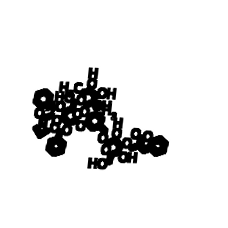 CC1CC(CO[C@H]2OC(CO)[C@@H](O)C(OCc3cc4ccccc4oc3=O)C2O)C[C@@H](O[C@@H]2OC(CO)[C@H](O)C(O[C@@H](CC3CCCCC3)C(=O)N3CCC3)C2OC(=O)c2ccccc2)C1O[C@@H]1OC(C)[C@@H](O)C(O)C1O